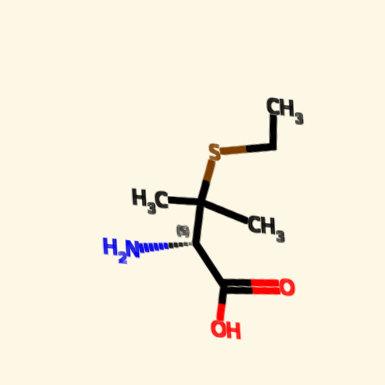 CCSC(C)(C)[C@@H](N)C(=O)O